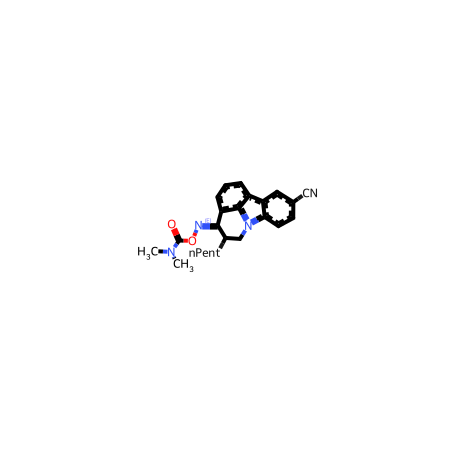 CCCCCC1Cn2c3ccc(C#N)cc3c3cccc(c32)/C1=N/OC(=O)N(C)C